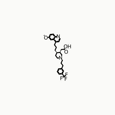 COc1ccc2nccc(CCC[C@@H]3CCN(CCCc4cccc(C(F)(F)F)c4)C[C@@H]3CC(=O)O)c2c1